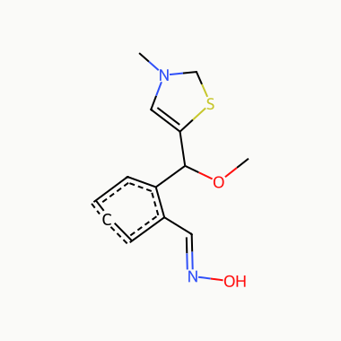 COC(C1=CN(C)CS1)c1ccccc1C=NO